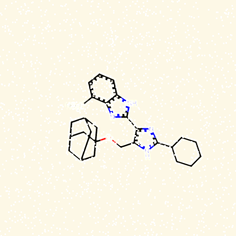 O=C(O)c1cccc2[nH]c(-c3nc(C4CCCCC4)[nH]c3COC34CC5CC(CC(C5)C3)C4)nc12